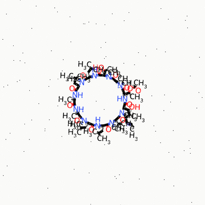 C/C=C/C[C@@H](C)[C@@H](O)[C@H]1C(=O)N[C@@H]([C@@H](C)OC(C)=O)C(=O)N(C)[C@H](C)C(=O)N(C)C(C(C)O)C(=O)N[C@@H](CC(C)C)C(=O)N(C)C(CC(C)C)C(=O)N[C@@H](C)C(=O)N[C@H](C)C(=O)N(C)[C@@H](CC(C)C)C(=O)N[C@@H](CC(C)C)C(=O)N(C)[C@@H](C(C)C)C(=O)N1C